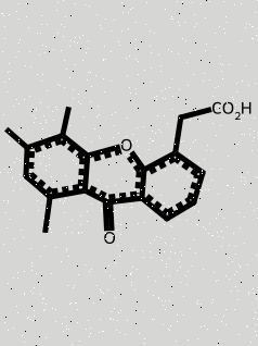 Cc1cc(C)c2c(=O)c3cccc(CC(=O)O)c3oc2c1C